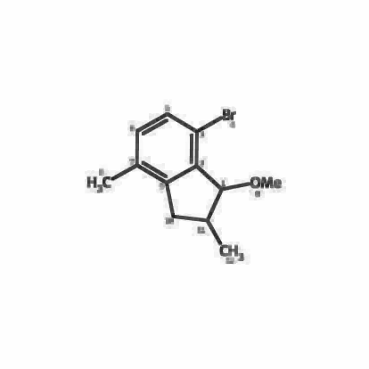 COC1c2c(Br)ccc(C)c2CC1C